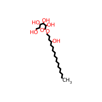 CCCCCCCCCCCCCC[C@@H](O)CCCOC1OC(CO)C(O)C(O)C1O